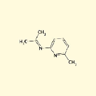 CC(C)=Nc1cccc(C)n1